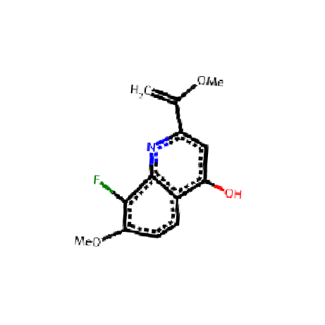 C=C(OC)c1cc(O)c2ccc(OC)c(F)c2n1